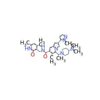 Cc1cc(C)c(CNC(=O)c2cc3cc(-c4ccnn4C)cn3c(C(C)N3CCC(N(C)C)CC3)c2C)c(=O)[nH]1